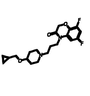 O=C1COc2c(F)cc(F)cc2N1CCCN1CCC(OCC2CC2)CC1